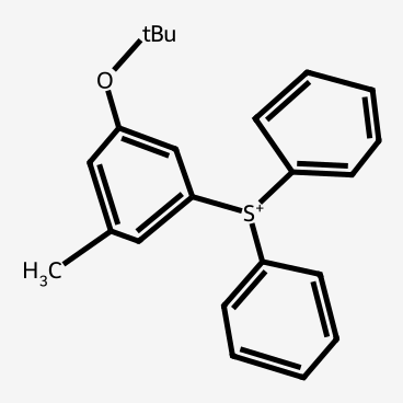 Cc1cc(OC(C)(C)C)cc([S+](c2ccccc2)c2ccccc2)c1